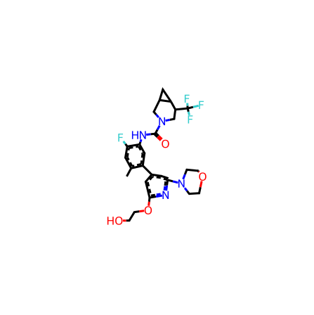 Cc1cc(F)c(NC(=O)N2CC3CC3C(C(F)(F)F)C2)cc1-c1cc(OCCO)nc(N2CCOCC2)c1